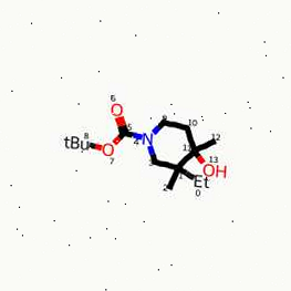 CCC1(C)CN(C(=O)OC(C)(C)C)CCC1(C)O